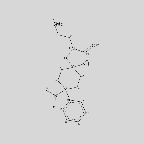 CSCCN1CC2(CCC(c3ccccc3)(N(C)C)CC2)NC1=O